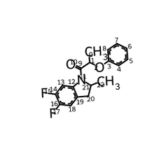 CC(Oc1ccccc1)C(=O)N1c2cc(F)c(F)cc2CC1C